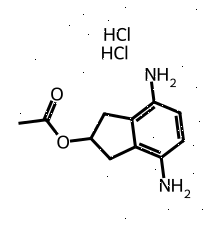 CC(=O)OC1Cc2c(N)ccc(N)c2C1.Cl.Cl